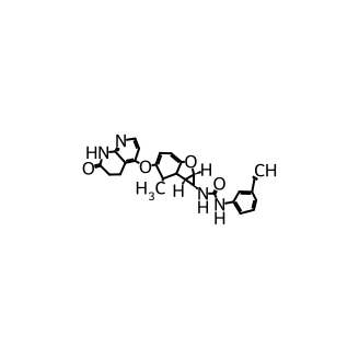 C#Cc1cccc(NC(=O)N[C@@H]2[C@H]3OC4=CC=C(Oc5ccnc6c5CCC(=O)N6)C(C)C4[C@@H]23)c1